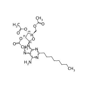 CCCCCCCCc1nc(N)c2ncn([C@@H]3O[C@H](COC(C)=O)[C@@H](OC(C)=O)[C@H]3OC(C)=O)c2n1